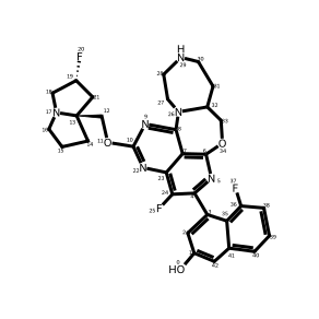 Oc1cc(-c2nc3c4c(nc(OC[C@@]56CCCN5C[C@H](F)C6)nc4c2F)N2CCNCCC2CO3)c2c(F)cccc2c1